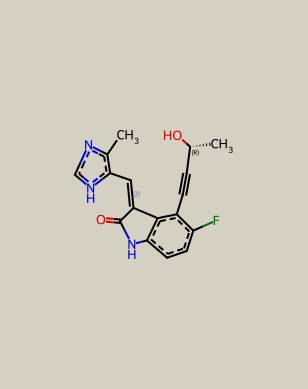 Cc1nc[nH]c1/C=C1\C(=O)Nc2ccc(F)c(C#C[C@@H](C)O)c21